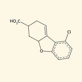 O=C(O)C1CC=C2c3c(Cl)cccc3OC2C1